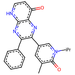 Cc1cc(-c2nc3c(=O)cc[nH]c3nc2-c2ccccc2)cn(C(C)C)c1=O